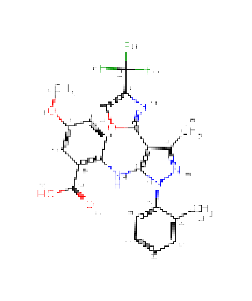 COc1ccc(Nc2c(-c3nc(C(F)(F)F)co3)c(C)nn2-c2ccccc2C)c(C(=O)O)c1